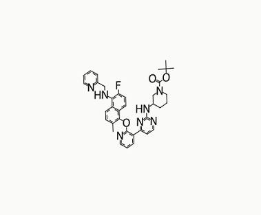 Cc1ccc2c(NCc3ccccn3)c(F)ccc2c1Oc1ncccc1-c1ccnc(NC2CCCN(C(=O)OC(C)(C)C)C2)n1